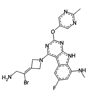 CNc1cc(F)cc2c1[nH]c1nc(Oc3cnc(C)nc3)nc(N3CC(=C(Br)CN)C3)c12